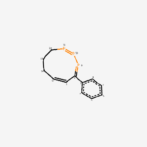 C1=CC(c2ccccc2)=PP=PCCC1